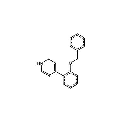 [CH]1C=C(c2ccccc2OCc2ccccc2)N=CN1